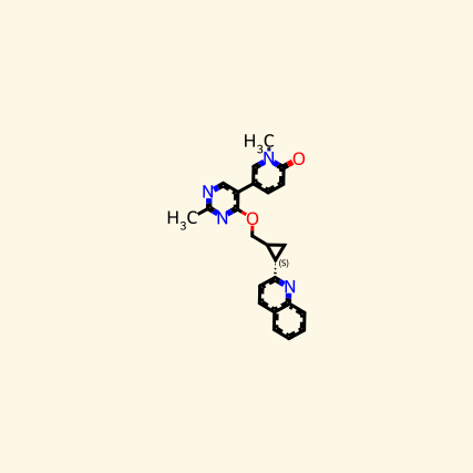 Cc1ncc(-c2ccc(=O)n(C)c2)c(OCC2C[C@@H]2c2ccc3ccccc3n2)n1